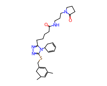 CC1=CC(C)CC(CSc2nnc(CCCCC(=O)NCCCN3CCCC3=O)n2C2C=CC=CC2)=C1